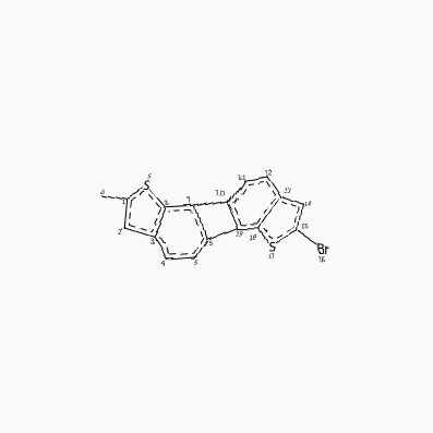 Cc1cc2ccc3c(c2s1)-c1ccc2cc(Br)sc2c1-3